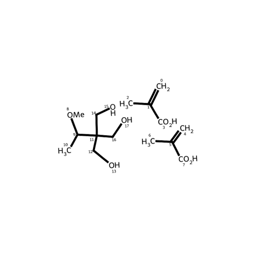 C=C(C)C(=O)O.C=C(C)C(=O)O.COC(C)C(CO)(CO)CO